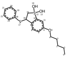 CCCCCOc1ccc2c(c1)S(O)(O)CC2Sc1ccccc1